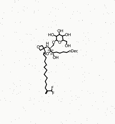 C=C(CCCCCCCCCCCCC1(N[C@@H](COC2OC(CO)C(O)C(O)C2O)[C@H](O)[C@H](O)CCCCCCCCCCCCCC)COC1)C(F)F